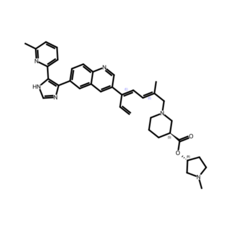 C=C/C(=C\C=C(/C)CN1CCC[C@H](C(=O)O[C@@H]2CCN(C)C2)C1)c1cnc2ccc(-c3nc[nH]c3-c3cccc(C)n3)cc2c1